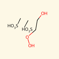 CS(=O)(=O)O.CS(=O)(=O)O.OCCOO